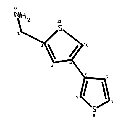 NCc1cc(-c2ccsc2)cs1